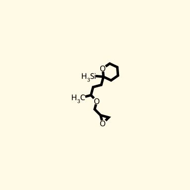 CC(CCC1([SiH3])CCCCO1)OCC1CO1